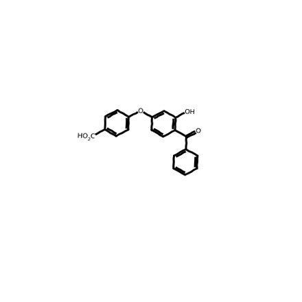 O=C(O)c1ccc(Oc2ccc(C(=O)c3ccccc3)c(O)c2)cc1